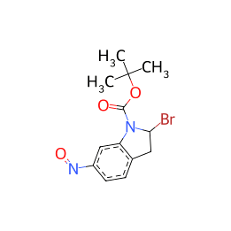 CC(C)(C)OC(=O)N1c2cc(N=O)ccc2CC1Br